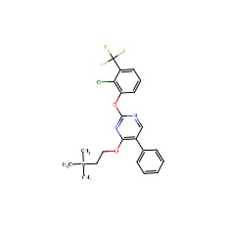 C[Si](C)(C)CCOc1nc(Oc2cccc(C(F)(F)F)c2Cl)ncc1-c1ccccc1